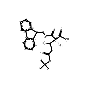 CC(C)(C)OC(=O)CC(N)[C@](N)(C(=O)O)C(=O)OCC1c2ccccc2-c2ccccc21